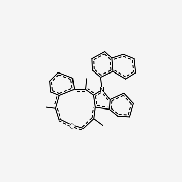 Cc1cccc(C)c2c3ccccc3n(-c3cccc4ccccc34)c2c(C)c2ccccc12